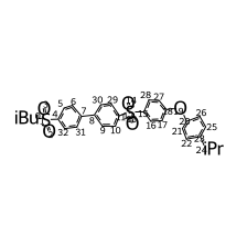 CCC(C)S(=O)(=O)c1ccc(-c2ccc(S(=O)(=O)c3ccc(Oc4ccc(C(C)C)cc4)cc3)cc2)cc1